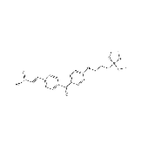 CO[Si](CCCOc1ccc(C(=O)c2ccc(/C=C/C(=O)O)cc2)cc1)(OC)OC